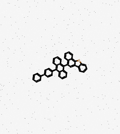 c1ccc(-c2ccc(-c3c4ccccc4c(-c4cc5c6ccccc6sc5c5ccccc45)c4ccccc34)cc2)cc1